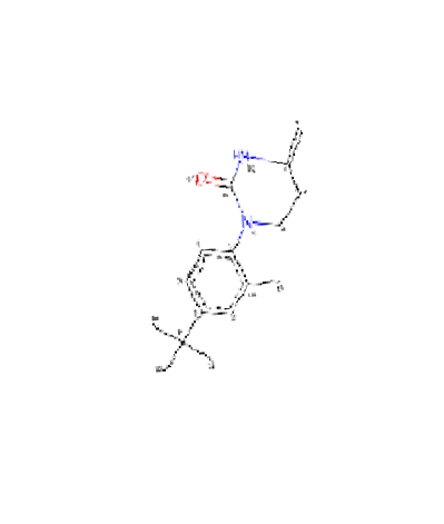 C=C1CCN(c2ccc(C(C)(C)C)cc2C)C(=O)N1